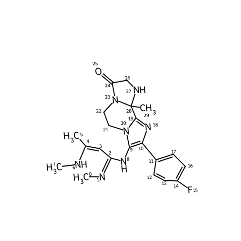 C/N=C(\C=C(\C)NC)Nc1c(-c2ccc(F)cc2)nc2n1CCN1C(=O)CNC21C